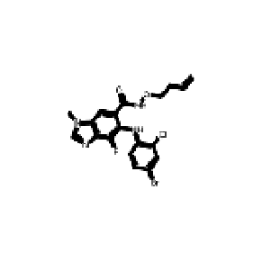 C=CCCONC(=O)c1cc2c(ncn2C)c(F)c1Nc1ccc(Br)cc1Cl